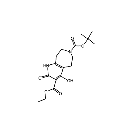 CCOC(=O)c1c(O)c2c([nH]c1=O)CCN(C(=O)OC(C)(C)C)CC2